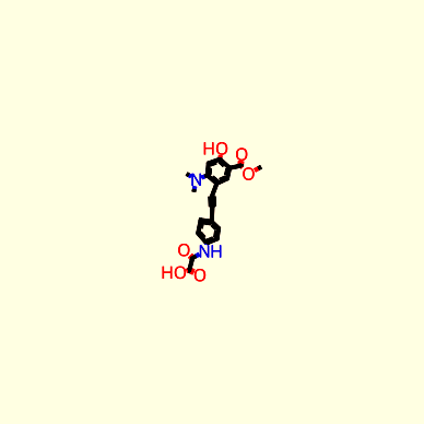 COC(=O)c1cc(C#Cc2ccc(NC(=O)C(=O)O)cc2)c(N(C)C)cc1O